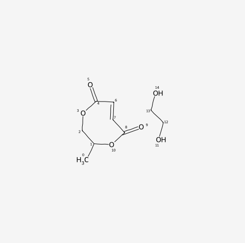 CC1COC(=O)/C=C/C(=O)O1.OCCO